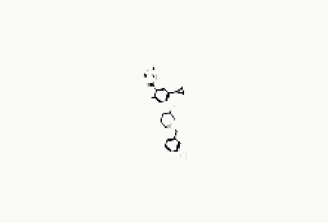 CS(=O)(=O)NC(=O)c1cc(C2CC2)c(OC2CCCN(Cc3cccc(Cl)c3)C2)cc1F